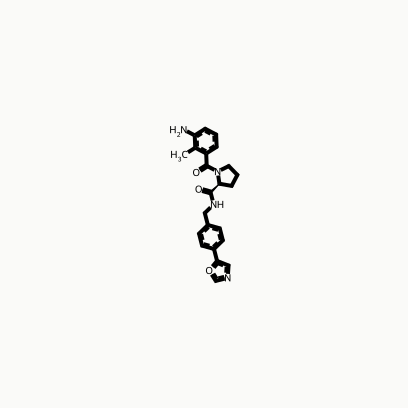 Cc1c(N)cccc1C(=O)N1CCC[C@H]1C(=O)NCc1ccc(-c2cnco2)cc1